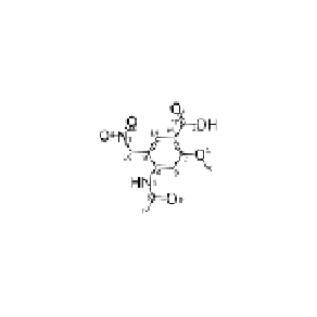 COc1cc(NC(C)=O)c(C[N+](=O)[O-])cc1C(=O)O